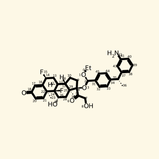 CCO[C@H](O[C@]1(C(=O)CO)CC[C@H]2[C@@H]3C[C@H](F)C4=CC(=O)C=C[C@]4(C)[C@@]3(F)[C@@H](O)C[C@@]21C)c1ccc([C@@H](C)c2cccc(N)c2)cc1